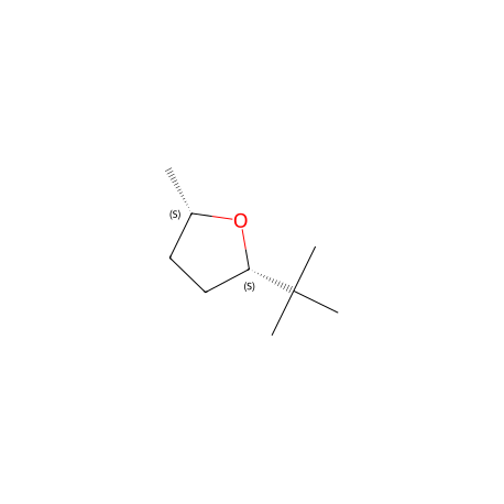 C[C@H]1CC[C@@H](C(C)(C)C)O1